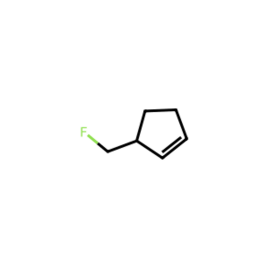 FCC1C=CCC1